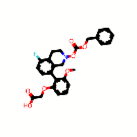 COc1cccc(OCC(=O)O)c1-c1ccc(F)c2c1CN(OC(=O)OCc1ccccc1)CC2